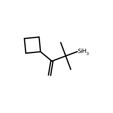 C=C(C1CCC1)C(C)(C)[SiH3]